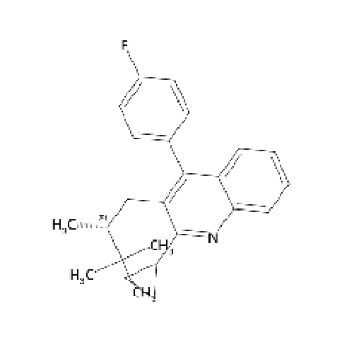 C[C@H](Cc1c(C2CC2)nc2ccccc2c1-c1ccc(F)cc1)C(C)(C)C